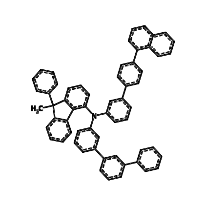 CC1(c2ccccc2)c2ccccc2-c2c(N(c3cccc(-c4ccc(-c5cccc6ccccc56)cc4)c3)c3cccc(-c4cccc(-c5ccccc5)c4)c3)cccc21